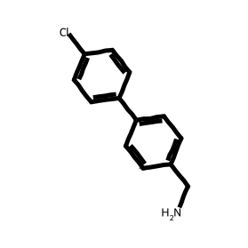 NCc1[c]cc(-c2ccc(Cl)cc2)cc1